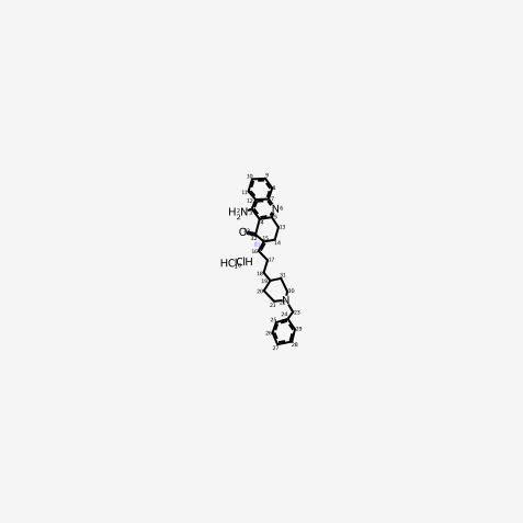 Cl.Cl.Nc1c2c(nc3ccccc13)CC/C(=C\CCC1CCN(Cc3ccccc3)CC1)C2=O